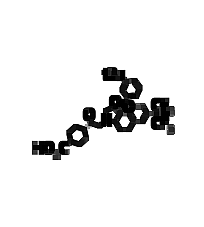 CC(C)(C)c1cccc(S(=O)(=O)C23CCN(CC(=O)[C@H]4CC[C@H](C(=O)O)CC4)C2CCc2cc(C(F)(C(F)(F)F)C(F)(F)F)ccc23)c1